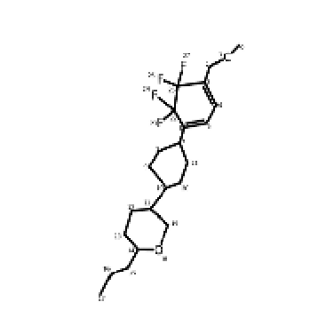 CCCC1=CC=C(C2CCC(C3CCC(CCC)OC3)CC2)C(F)(F)C1(F)F